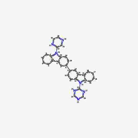 c1ccc2c(c1)c1cc(-c3ccc4c(c3)c3ccccc3n4-c3ncncn3)ccc1n2-c1cnccn1